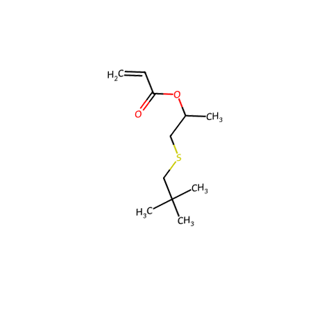 C=CC(=O)OC(C)CSCC(C)(C)C